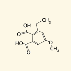 CCc1cc(OC)cc(C(=O)O)c1C(=O)O